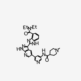 CCN(CC)C(=O)c1cccc2[nH]c(-c3n[nH]c4ncc(-c5cncc(NC(=O)C6CCN(C)CC6)c5)cc34)nc12